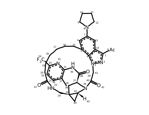 CC(=O)c1nn2c3c(cc(N4CCCC4)cc13)CCCCCCC(=O)NC[C@@]13C[C@@H](C(=O)Nc4nc(C(F)(F)F)ccc4C)N(C(=O)C2)[C@@H]1C3